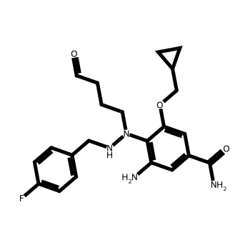 NC(=O)c1cc(N)c(N(CCCC=O)NCc2ccc(F)cc2)c(OCC2CC2)c1